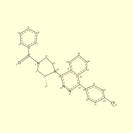 C[C@@H]1CN(C(=O)c2ccccc2)CCN1c1nnc(-c2ccc(C(F)(F)F)cc2)c2ccccc12